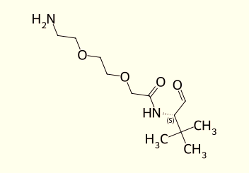 CC(C)(C)[C@@H](C=O)NC(=O)COCCOCCN